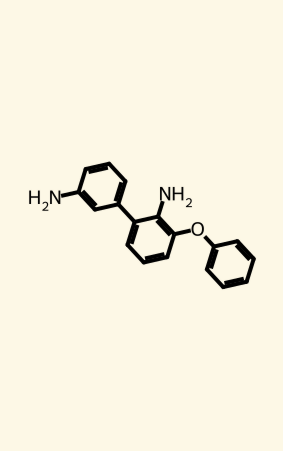 Nc1cccc(-c2cccc(Oc3ccccc3)c2N)c1